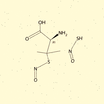 CC(C)(SN=O)[C@H](N)C(=O)O.O=NS